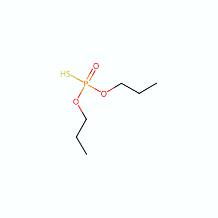 CCCOP(=O)(S)OCCC